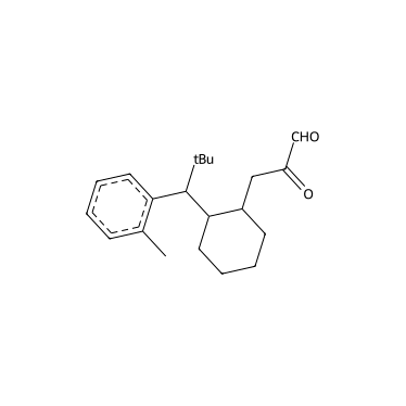 Cc1ccccc1C(C1CCCCC1CC(=O)C=O)C(C)(C)C